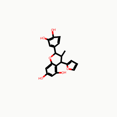 CC1C(c2ccc(O)c(O)c2)Oc2cc(O)cc(O)c2C1c1ccco1